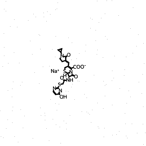 O=C(CSc1nccc(O)n1)N[C@@H]1C(=O)N2C(C(=O)[O-])=C(/C=C3\CCN(C4CC4)C3=O)CS[C@H]12.[Na+]